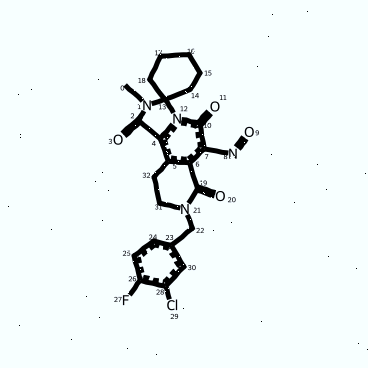 CN1C(=O)c2c3c(c(N=O)c(=O)n2C12CCCCC2)C(=O)N(Cc1ccc(F)c(Cl)c1)CC3